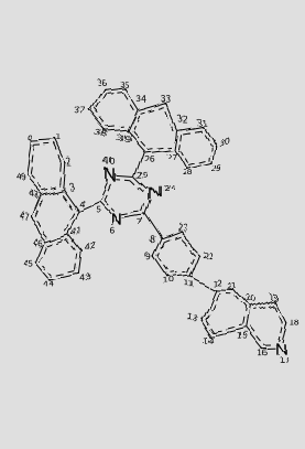 c1ccc2c(-c3nc(-c4ccc(-c5ccc6cnccc6c5)cc4)nc(-c4c5ccccc5cc5ccccc45)n3)c3ccccc3cc2c1